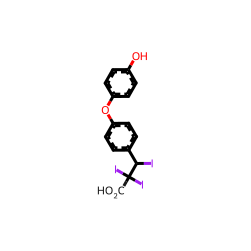 O=C(O)C(I)(I)C(I)c1ccc(Oc2ccc(O)cc2)cc1